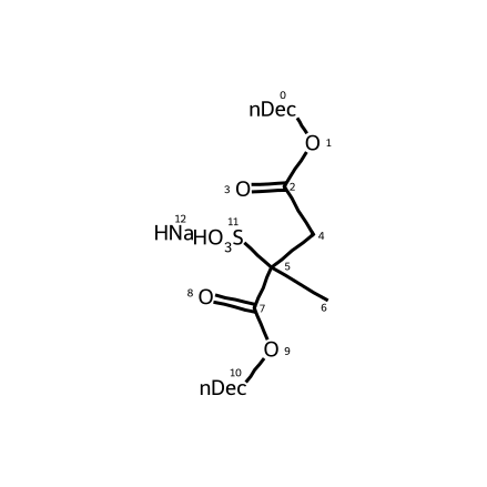 CCCCCCCCCCOC(=O)CC(C)(C(=O)OCCCCCCCCCC)S(=O)(=O)O.[NaH]